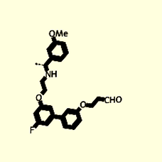 COc1cccc([C@@H](C)NCCOc2cc(F)cc(-c3cccc(OCCC=O)c3)c2)c1